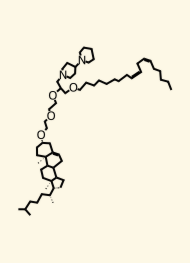 CCCCC/C=C\C/C=C\CCCCCCCCOCC(CN1CCC(N2CCCCC2)CC1)OCCOCCO[C@H]1CC[C@@]2(C)C(=CCC3C2CC[C@@]2(C)C3CC[C@@H]2[C@H](C)CCCC(C)C)C1